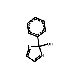 OC1(c2ccccc2)N=CC=N1